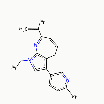 C=C(C1=Nc2c(c(-c3ccc(CC)nc3)cn2CC(C)C)CC=C1)C(C)C